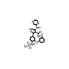 CCS(=O)(=O)Nc1ccc(-c2n[nH]c(Nc3cnccn3)c2C(N)=O)cc1Oc1cccc(F)c1